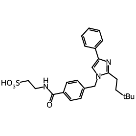 CC(C)(C)CCc1nc(-c2ccccc2)cn1Cc1ccc(C(=O)NCCS(=O)(=O)O)cc1